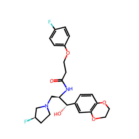 O=C(CCOc1ccc(F)cc1)N[C@H](CN1CC[C@@H](F)C1)[C@@H](O)c1ccc2c(c1)OCCO2